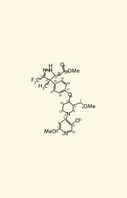 COCC1CN(c2cc(OC)ncc2Cl)CCC1Oc1ccc([C@]2(C)C(C(F)(F)F)=NN[C@H]2CC(=O)OC)cc1